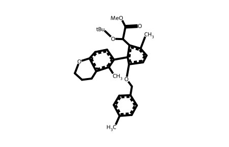 COC(=O)C(OC(C)(C)C)c1c(C)ccc(OCc2ccc(C)cc2)c1-c1ccc2c(c1C)CCCO2